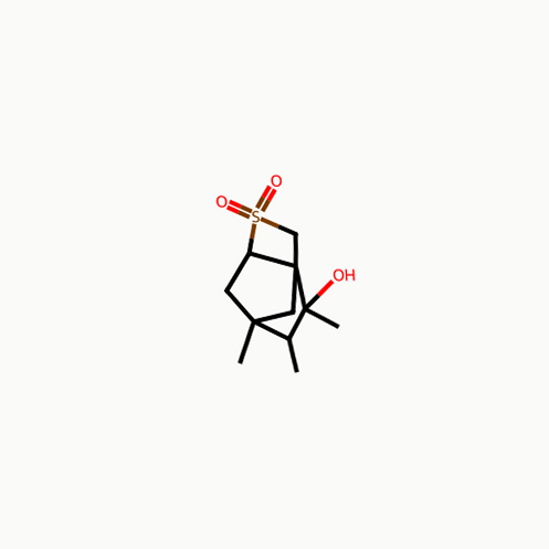 CC1C2(C)CC3C(C2)(CS3(=O)=O)C1(C)O